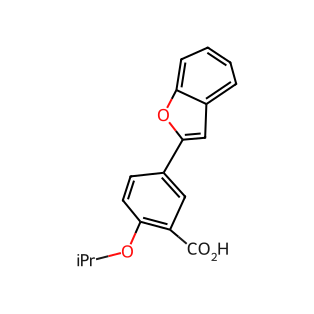 CC(C)Oc1ccc(-c2cc3ccccc3o2)cc1C(=O)O